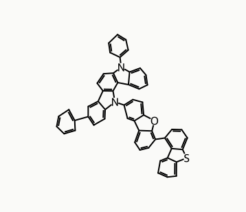 c1ccc(-c2ccc3c(c2)c2ccc4c(c5ccccc5n4-c4ccccc4)c2n3-c2ccc3oc4c(-c5cccc6sc7ccccc7c56)cccc4c3c2)cc1